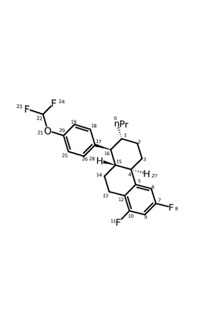 CCC[C@@H]1CC[C@H]2c3cc(F)cc(F)c3CC[C@@H]2[C@H]1c1ccc(OC(F)F)cc1